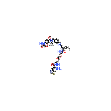 C/C(=C\CNCc1ccc(CN(C(=O)c2ccc3c(c2)OCC(=O)N3)C2CC2)cc1)C(=O)NCCOCCOCCNC(=O)[C@@H](N)Cc1cscn1